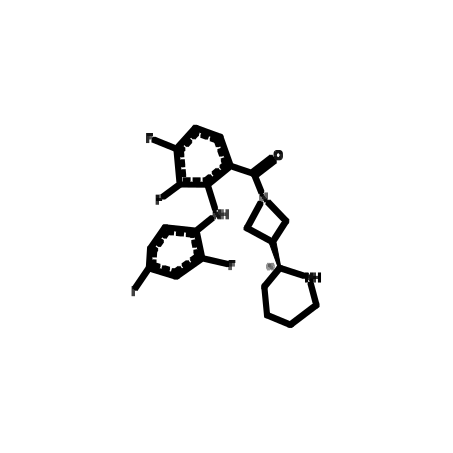 O=C(c1ccc(F)c(F)c1Nc1ccc(I)cc1F)N1CC([C@@H]2CCCCN2)C1